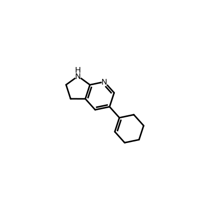 C1=C(c2cnc3c(c2)CCN3)CCCC1